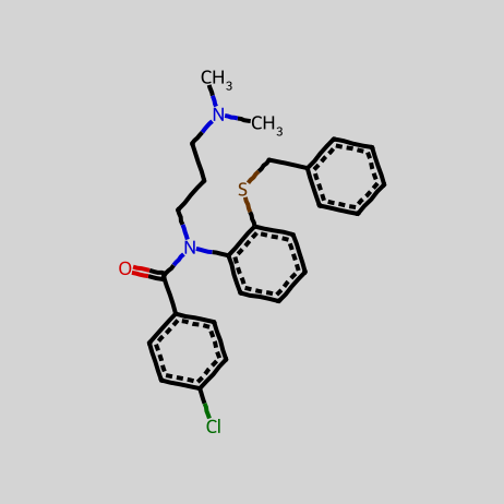 CN(C)CCCN(C(=O)c1ccc(Cl)cc1)c1ccccc1SCc1ccccc1